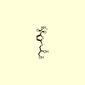 NS(=O)(=O)c1ccc(SCC(O)CO)s1